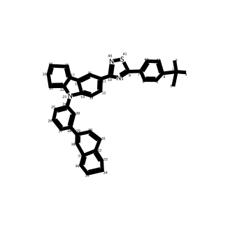 CC(C)(C)c1ccc(-c2nc(-c3ccc4c(c3)c3ccccc3n4-c3cccc(-c4ccc5ccccc5c4)c3)ns2)cc1